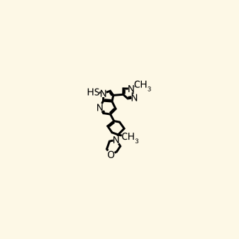 Cn1cc(-c2cn(S)c3ncc(C4=CCC(C)(N5CCOCC5)CC4)cc23)cn1